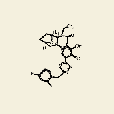 CCN1C(=O)c2c(O)c(=O)c(-c3nnc(Cc4ccc(F)cc4F)s3)cn2N2C[C@H]3CC[C@H](O3)[C@H]12